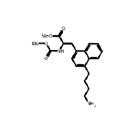 COC(=O)C(Cc1ccc(CCCCN)c2ccccc12)NC(=O)OC(C)(C)C